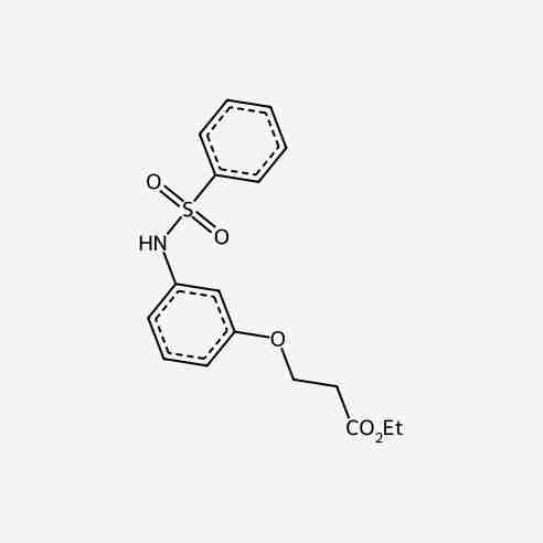 CCOC(=O)CCOc1cccc(NS(=O)(=O)c2ccccc2)c1